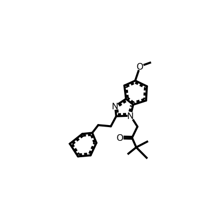 COc1ccc2c(c1)nc(CCc1ccccc1)n2CC(=O)C(C)(C)C